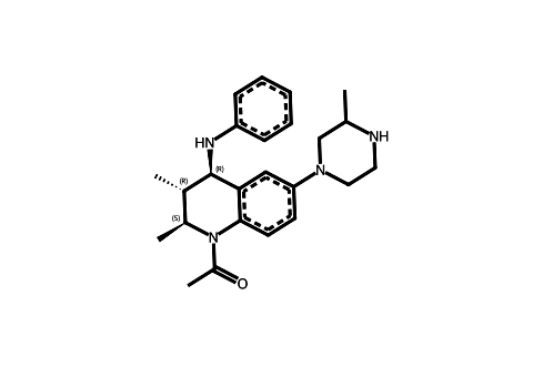 CC(=O)N1c2ccc(N3CCNC(C)C3)cc2[C@H](Nc2ccccc2)[C@@H](C)[C@@H]1C